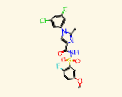 COc1ccc(F)c(S(=O)(=O)NC(=O)c2cn(-c3cc(Cl)cc(Cl)c3)c(C)n2)c1